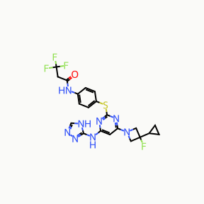 O=C(CC(F)(F)F)Nc1ccc(Sc2nc(Nc3nnc[nH]3)cc(N3CC(F)(C4CC4)C3)n2)cc1